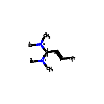 CCCC=C[SiH](N(C)CC)N(C)CC